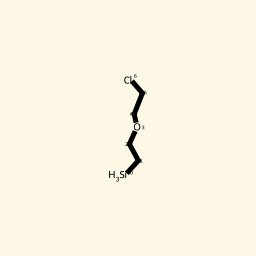 [SiH3]CCOCCCl